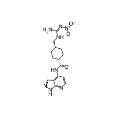 N/C(=N/[N+](=O)[O-])NC[C@H]1CC[C@H](C(=O)Nc2ccnc3[nH]ncc23)CC1